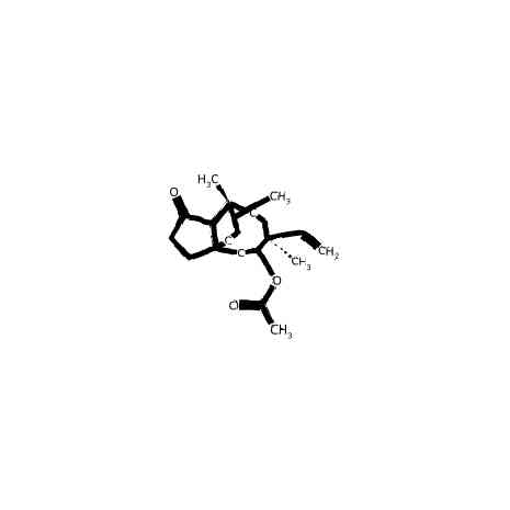 C=C[C@]1(C)CC[C@]2(C)C(C)CCC3(CCC(=O)C32)CC1OC(C)=O